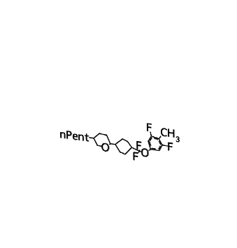 CCCCCC1CCC(C2CCC(C(F)(F)Oc3cc(F)c(C)c(F)c3)CC2)OC1